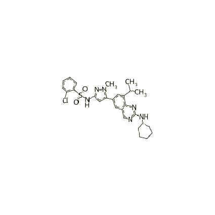 CC(C)c1cc(-c2cc(NS(=O)(=O)c3ccccc3Cl)nn2C)cc2cnc(NC3CCCCC3)nc12